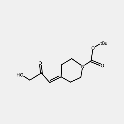 CC(C)(C)OC(=O)N1CCC(=CC(=O)CO)CC1